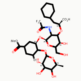 CCC1CC(C(=O)OC)C[C@@H](O[C@@H]2OC(CO)[C@H](O)C(O[C@@H](CC3CCCCC3)C(=O)O)C2NC(=O)C(F)(F)F)C1OC1O[C@@H](C)C(O)C(O)[C@@H]1O